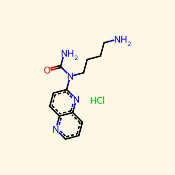 Cl.NCCCCN(C(N)=O)c1ccc2ncccc2n1